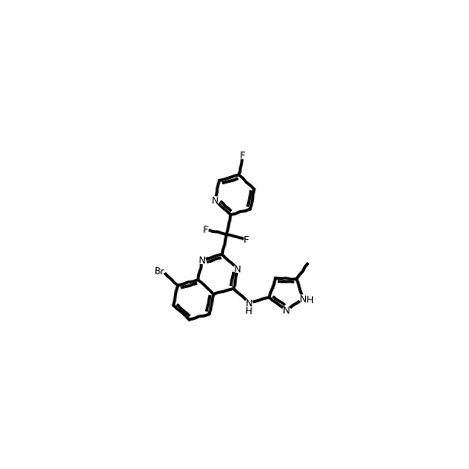 Cc1cc(Nc2nc(C(F)(F)c3ccc(F)cn3)nc3c(Br)cccc23)n[nH]1